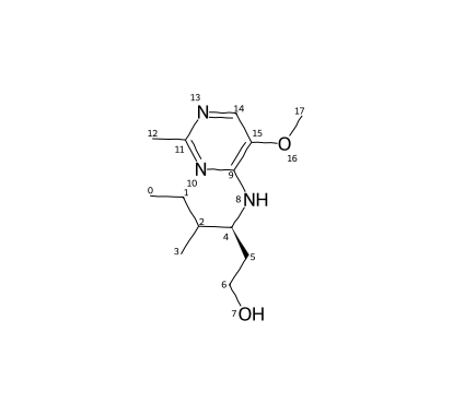 CCC(C)[C@H](CCO)Nc1nc(C)ncc1OC